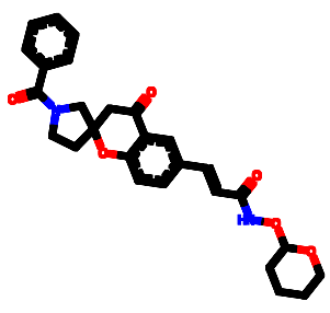 O=C(C=Cc1ccc2c(c1)C(=O)CC1(CCN(C(=O)c3ccccc3)C1)O2)NOC1CCCCO1